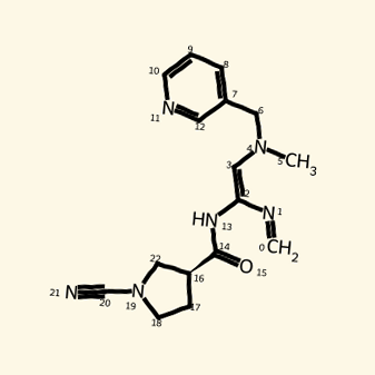 C=N/C(=C\N(C)Cc1cccnc1)NC(=O)[C@H]1CCN(C#N)C1